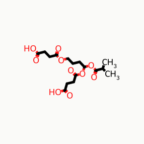 CC(C)C(=O)OC(CCCOC(=O)CCC(=O)O)OC(=O)CCC(=O)O